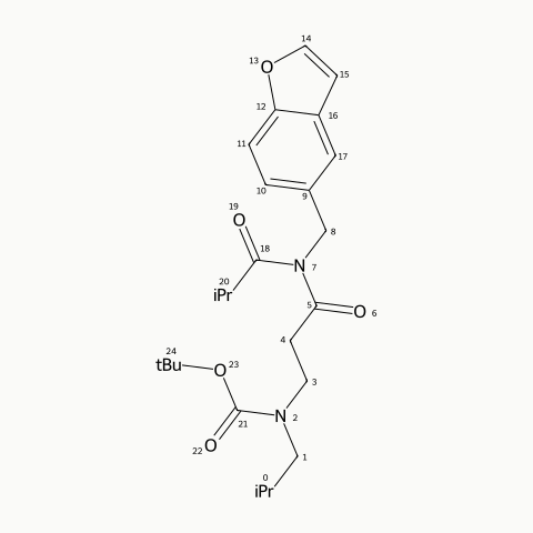 CC(C)CN(CCC(=O)N(Cc1ccc2occc2c1)C(=O)C(C)C)C(=O)OC(C)(C)C